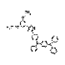 CCOc1cc(OCC)cc(-c2nnc(-c3ccc(N(c4ccccc4)c4ccc(N(c5ccccc5)c5ccccc5)cc4)cc3)o2)c1